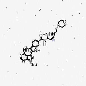 CC(C)(C)n1nc(-c2[nH]c3cc(C(=O)NC(=N)/C=C\NCCN4CCOCC4)ccc3c2Cl)c2c(N)ncnc21